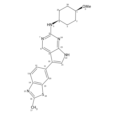 CO[C@H]1CC[C@@H](Nc2ncc3c(-c4ccc5nc(C)sc5c4)c[nH]c3n2)CC1